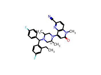 CCc1cc(F)ccc1C(c1ccc(F)cc1)N1C[C@H](C)N(c2cc(=O)n(C)c3ccc(C#N)nc23)CC1C